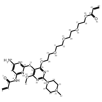 C=CC(=O)Nc1cc(N)nc(Sc2c(OC)nc(N3CCN(C)CC3)nc2OCCOCCOCCOCCOC(=O)C=C)n1